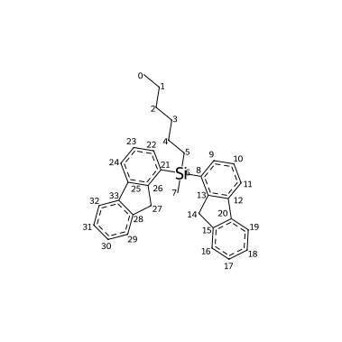 CCCCCC[Si](C)(c1cccc2c1Cc1ccccc1-2)c1cccc2c1Cc1ccccc1-2